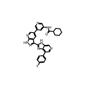 O=C(Nc1cncc(-c2cnc3[nH]nc(-c4nc5c(-c6ccc(F)cc6)cncc5[nH]4)c3c2)c1)C1CCCCC1